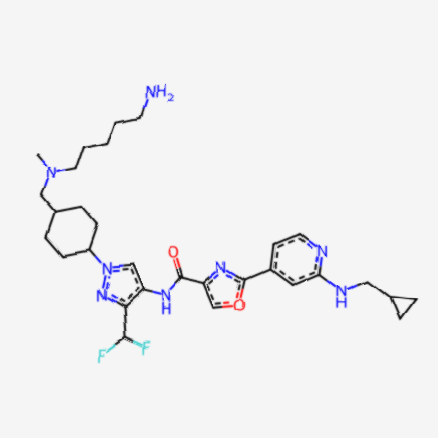 CN(CCCCCN)CC1CCC(n2cc(NC(=O)c3coc(-c4ccnc(NCC5CC5)c4)n3)c(C(F)F)n2)CC1